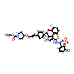 Cc1c(F)ccc(F)c1-c1c(C(=O)N[C@@H](CS(C)(=O)=O)c2cccc(Cl)c2)cn(C)c1C(=O)c1ccc(C#CCOC2CCN(C(=O)OC(C)(C)C)CC2)cc1